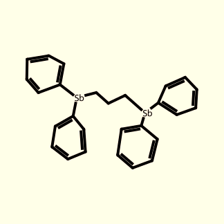 c1cc[c]([Sb]([CH2]C[CH2][Sb]([c]2ccccc2)[c]2ccccc2)[c]2ccccc2)cc1